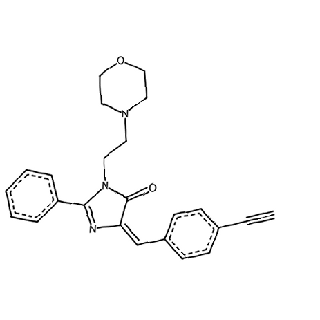 C#Cc1ccc(C=C2N=C(c3ccccc3)N(CCN3CCOCC3)C2=O)cc1